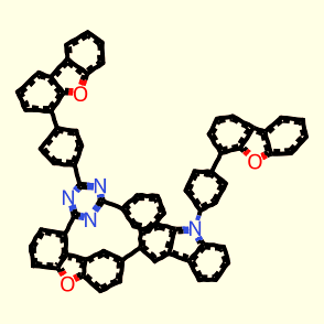 c1ccc(-c2nc(-c3ccc(-c4cccc5c4oc4ccccc45)cc3)nc(-c3cccc4oc5ccc(-c6ccc7c(c6)c6ccccc6n7-c6ccc(-c7cccc8c7oc7ccccc78)cc6)cc5c34)n2)cc1